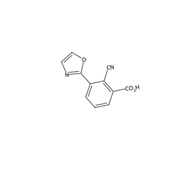 N#Cc1c(C(=O)O)cccc1-c1ncco1